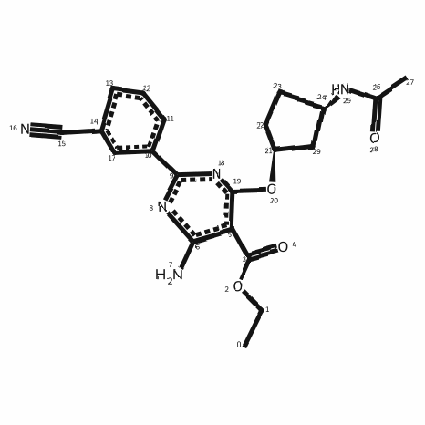 CCOC(=O)c1c(N)nc(-c2cccc(C#N)c2)nc1O[C@H]1CC[C@@H](NC(C)=O)C1